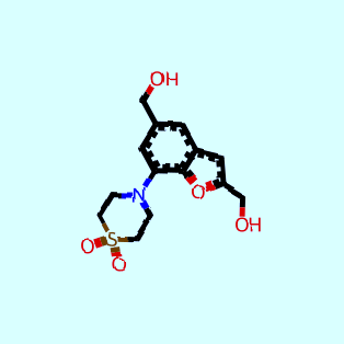 O=S1(=O)CCN(c2cc(CO)cc3cc(CO)oc23)CC1